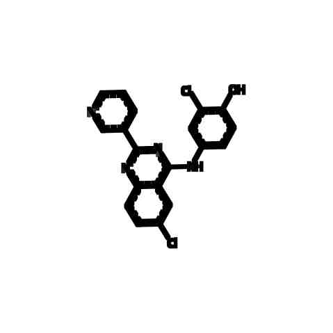 Oc1ccc(Nc2nc(-c3cccnc3)nc3ccc(Cl)cc23)cc1Cl